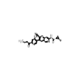 CCCC(=O)c1cc(C)c(-c2cc3cnc(NC(=O)[C@H]4C[C@H]4F)cc3nc2C#N)cn1